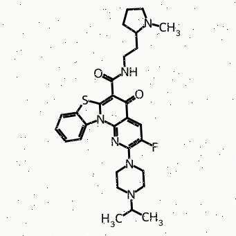 CC(C)N1CCN(c2nc3c(cc2F)c(=O)c(C(=O)NCCC2CCCN2C)c2sc4ccccc4n23)CC1